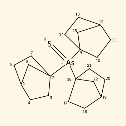 S=[As](C12CCC(CC1)C2)(C12CCC(CC1)C2)C12CCC(CC1)C2